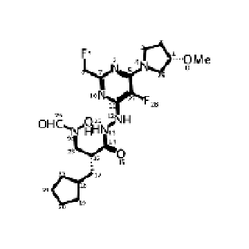 CO[C@H]1CCN(c2nc(CF)nc(NNC(=O)[C@H](CC3CCCC3)CN(O)C=O)c2F)C1